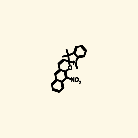 CN1c2ccccc2C(C)(C)C12C=Cc1cc3ccccc3c([N+](=O)[O-])c1O2